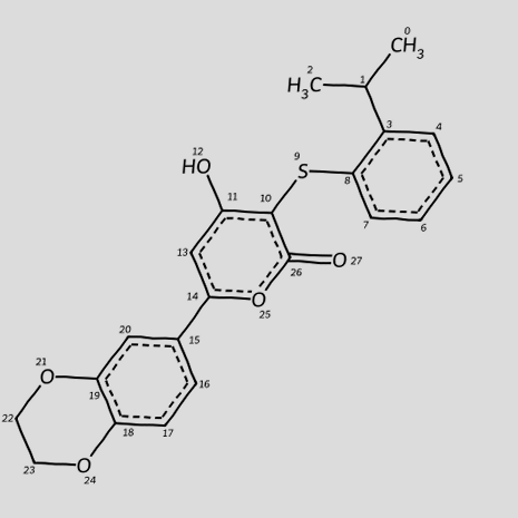 CC(C)c1ccccc1Sc1c(O)cc(-c2ccc3c(c2)OCCO3)oc1=O